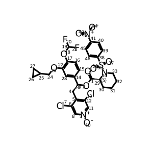 O=C(O[C@@H](Cc1c(Cl)c[n+]([O-])cc1Cl)c1ccc(OC(F)F)c(OCC2CC2)c1)[C@@H]1CCCCN1S(=O)(=O)c1ccc([N+](=O)[O-])cc1